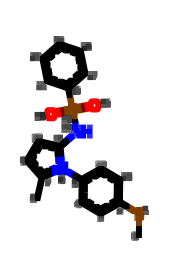 CSc1ccc(-n2c(C)ccc2NS(=O)(=O)c2ccccc2)cc1